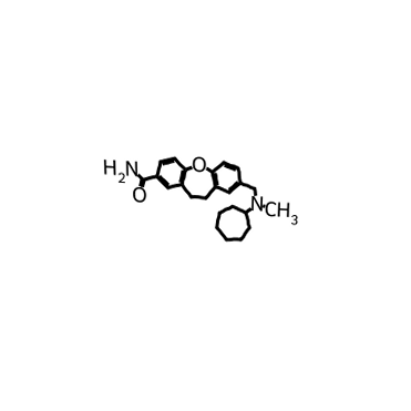 CN(Cc1ccc2c(c1)CCc1cc(C(N)=O)ccc1O2)C1CCCCCC1